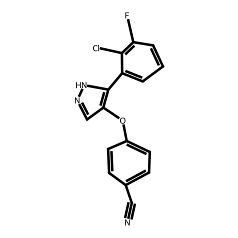 N#Cc1ccc(Oc2cn[nH]c2-c2cccc(F)c2Cl)cc1